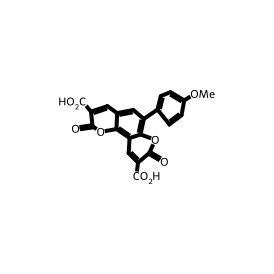 COc1ccc(-c2cc3cc(C(=O)O)c(=O)oc3c3cc(C(=O)O)c(=O)oc23)cc1